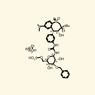 CCCC[C@]1(CC)CS(=O)(=O)c2ccc(N(C)C)cc2[C@@H](c2cccc(NC(=O)N[C@@H]3O[C@H](COS(=O)(=O)O)[C@@H](O)[C@H](OCc4ccccc4)[C@H]3O)c2)[C@H]1O.CCO.O.[KH]